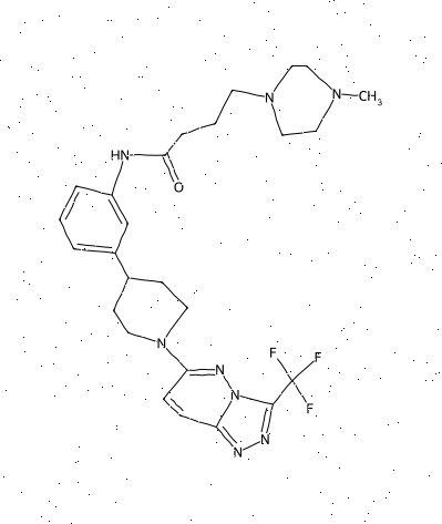 CN1CCN(CCCC(=O)Nc2cccc(C3CCN(c4ccc5nnc(C(F)(F)F)n5n4)CC3)c2)CC1